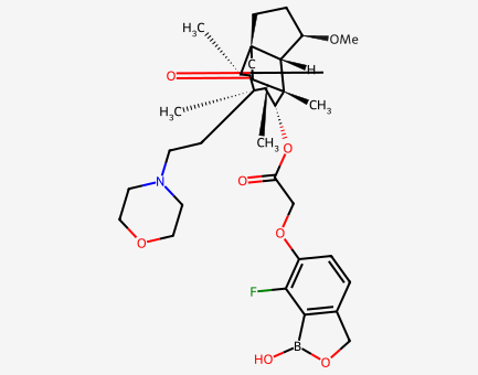 CO[C@@H]1CC[C@@]23CC[C@@H](C)[C@@](C)([C@H](OC(=O)COc4ccc5c(c4F)B(O)OC5)C[C@@](C)(CCN4CCOCC4)C(=O)[C@@H]2C)[C@@H]13